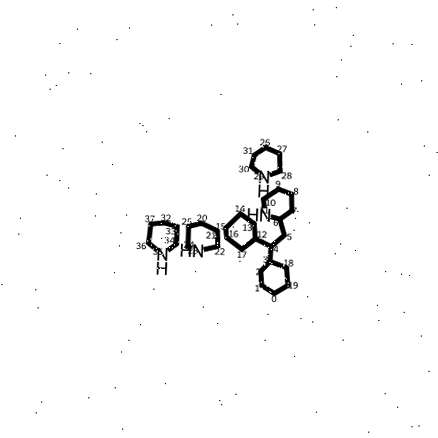 C1CCC(C(CC2CCCCN2)C2CCCCC2)CC1.C1CCNCC1.C1CCNCC1.C1CCNCC1